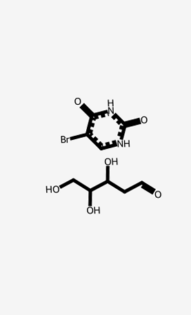 O=CCC(O)C(O)CO.O=c1[nH]cc(Br)c(=O)[nH]1